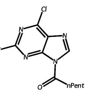 CCCCCC(=O)n1cnc2c(Cl)nc(F)nc21